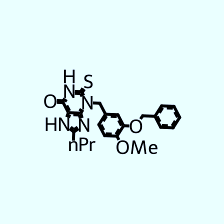 CCCc1nc2c([nH]1)c(=O)[nH]c(=S)n2Cc1ccc(OC)c(OCc2ccccc2)c1